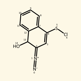 [N-]=[N+]=C1C=C(SCl)c2ccccc2C1O